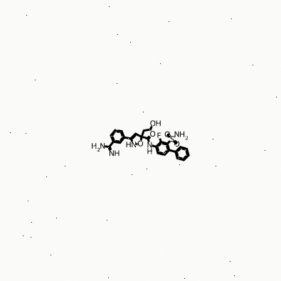 N=C(N)c1cccc(C2=CC(CCO)(C(=O)Nc3ccc(-c4ccccc4)c(S(N)(=O)=O)c3F)ON2)c1